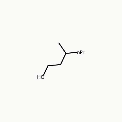 CCCC(C)CCO